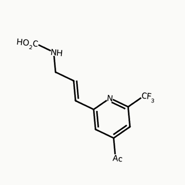 CC(=O)c1cc(C=CCNC(=O)O)nc(C(F)(F)F)c1